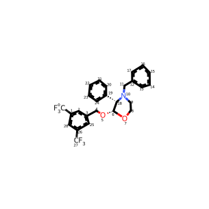 FC(F)(F)c1cc(CO[C@H]2OCCN(Cc3ccccc3)[C@H]2c2ccccc2)cc(C(F)(F)F)c1